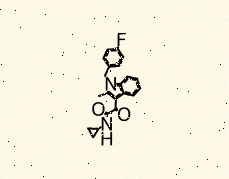 Cc1c(C(=O)C(=O)NC2CC2)c2ccccc2n1Cc1ccc(F)cc1